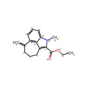 C=C1CCCc2c(C(=O)OCC)n(C)c3cccc1c23